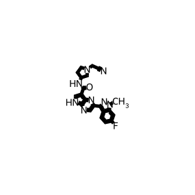 Cn1nc(-c2cnc3[nH]cc(C(=O)NC4CCN(CC#N)C4)c3n2)c2ccc(F)cc21